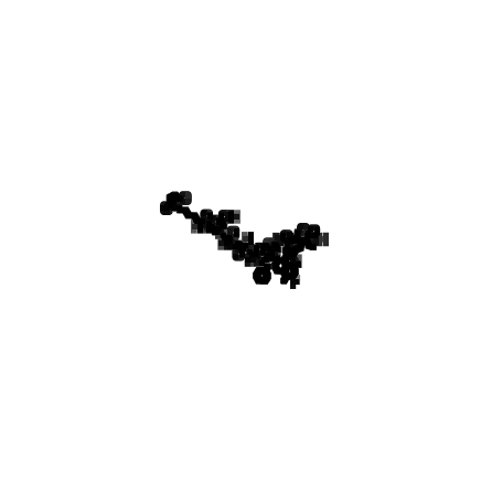 CC[C@@]1(O)C(=O)OCc2c1cc1n(c2=O)Cc2c-1nc1cc(F)c(C)c3c1c2[C@@H](N(CC(N)=O)C(=O)[C@H](Cc1ccccc1)NC(=O)CNC(=O)CNC(=O)CN(CCNC(=O)CCCCCN1C(=O)C=CC1=O)CC(=O)O)CC3